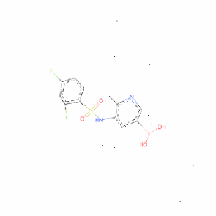 Cc1ncc(B(O)O)cc1NS(=O)(=O)c1ccc(F)cc1F